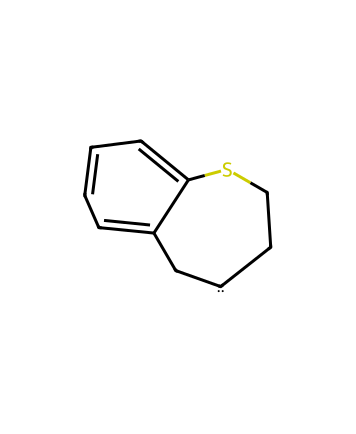 [C]1CCSc2ccccc2C1